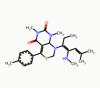 CC/C(=C(\C=C(C)C)NC)N1CSC(c2ccc(C)cc2)=C2C(=O)N(C)C(=O)N(C)C21